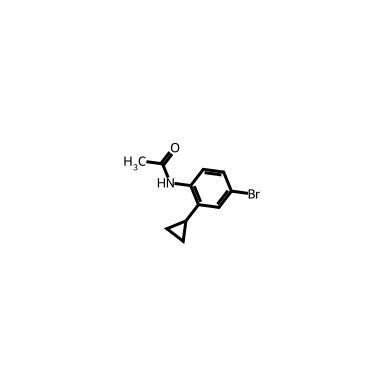 CC(=O)Nc1ccc(Br)cc1C1CC1